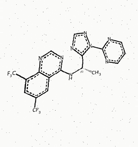 C[C@H](Nc1ncnc2c(C(F)(F)F)cc(C(F)(F)F)cc12)c1ncnn1-c1ncccn1